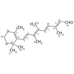 CC1=C(/C=C/C(C)=C(C)/C=C/C(C)=C/C=O)C(C)(C)CCC1